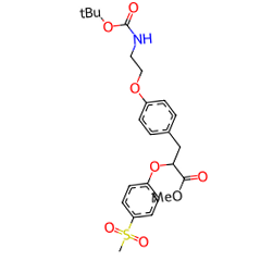 COC(=O)C(Cc1ccc(OCCNC(=O)OC(C)(C)C)cc1)Oc1ccc(S(C)(=O)=O)cc1